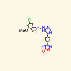 COc1cc(Cl)cc2c1cc(C)n2CCNc1cc(-c2ccc(-c3noc(=O)[nH]3)cc2)ncn1